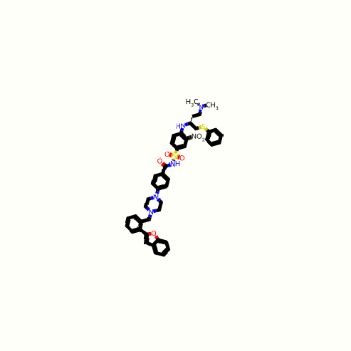 CN(C)CC[C@H](CSc1ccccc1)Nc1ccc(S(=O)(=O)NC(=O)c2ccc(N3CCN(Cc4ccccc4-c4cc5ccccc5o4)CC3)cc2)cc1[N+](=O)[O-]